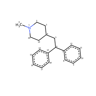 CN1CCC(CC(c2ccccc2)c2ccccc2)CC1